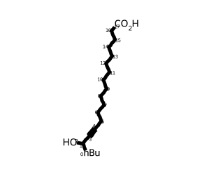 CCCCC(O)C#CCCCCCCCCCCCCC(=O)O